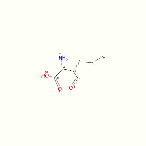 CCC[C@H](C=O)[C@@H](N)C(=O)O